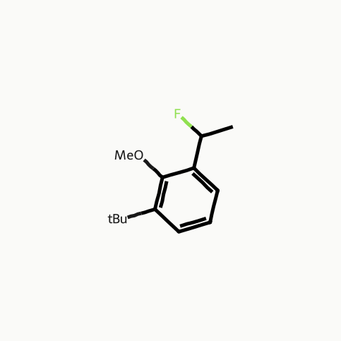 COc1c(C(C)F)cccc1C(C)(C)C